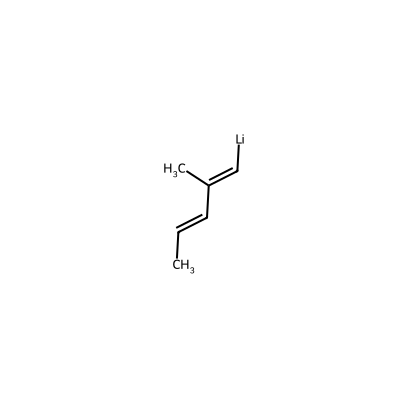 [Li]/[CH]=C(C)/C=C/C